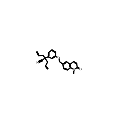 C=CCC(C#N)(CC=C)c1cccc(OCc2ccc3c(ccc(=O)n3C)c2)c1